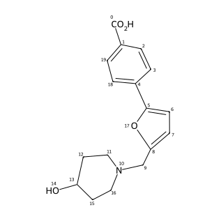 O=C(O)c1ccc(-c2ccc(CN3CCC(O)CC3)o2)cc1